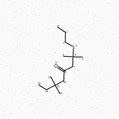 CCCSC(C)(C)CC(=O)CC(C)(C)CC